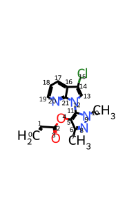 C=CC(=O)Oc1c(C)nn(C)c1-n1cc(Cl)c2cccnc21